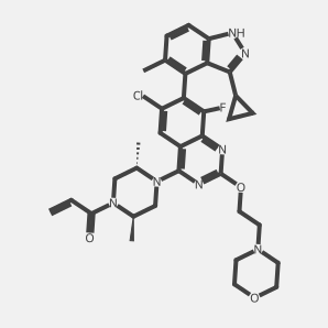 C=CC(=O)N1C[C@H](C)N(c2nc(OCCN3CCOCC3)nc3c(F)c(-c4c(C)ccc5[nH]nc(C6CC6)c45)c(Cl)cc23)C[C@H]1C